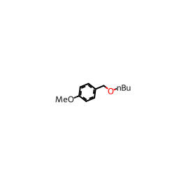 CCCCOCc1ccc(OC)cc1